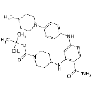 CN1CCN(c2ccc(Nc3cc(NC4CCN(C(=O)OC(C)(C)C)CC4)c(C(N)=O)cn3)cc2)CC1